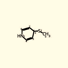 CS[C]1C=CNC=C1